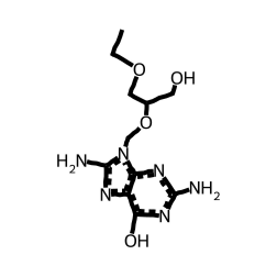 CCOCC(CO)OCn1c(N)nc2c(O)nc(N)nc21